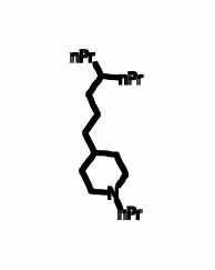 CCCC(CCC)CCCC1CCN(CCC)CC1